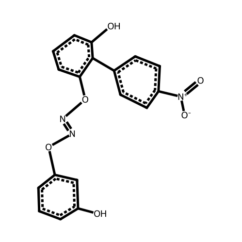 O=[N+]([O-])c1ccc(-c2c(O)cccc2ON=NOc2cccc(O)c2)cc1